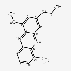 CCSc1cc(OC)c2nc3cccc(C)c3nc2c1